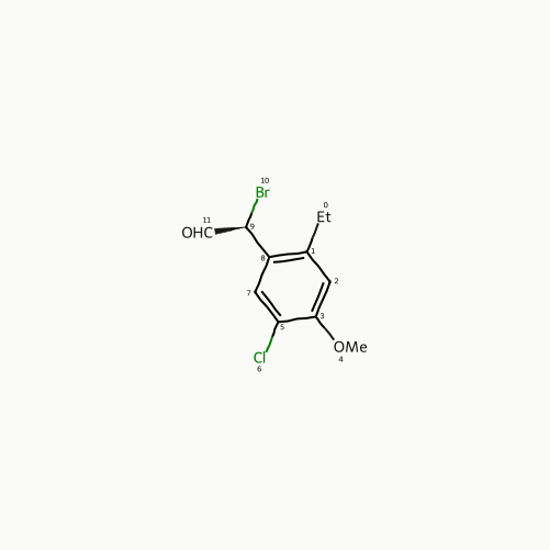 CCc1cc(OC)c(Cl)cc1[C@H](Br)C=O